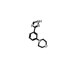 [c]1cc(-c2nc[nH]n2)cc(N2CCOCC2)c1